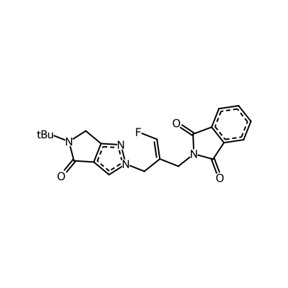 CC(C)(C)N1Cc2nn(CC(=CF)CN3C(=O)c4ccccc4C3=O)cc2C1=O